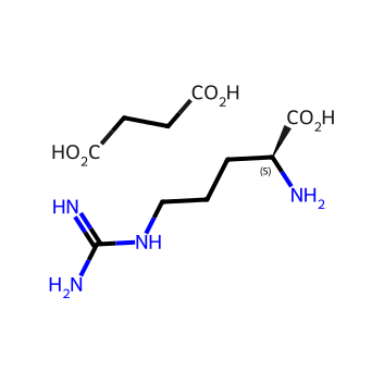 N=C(N)NCCC[C@H](N)C(=O)O.O=C(O)CCC(=O)O